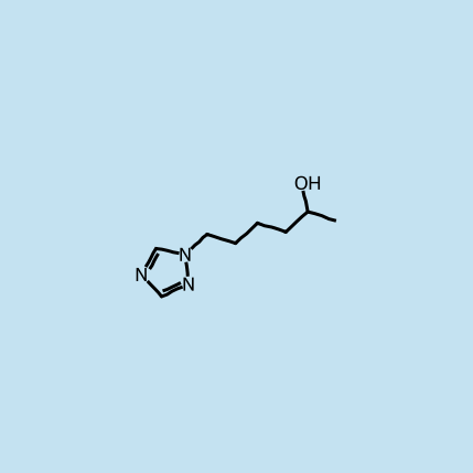 CC(O)CCCCn1cncn1